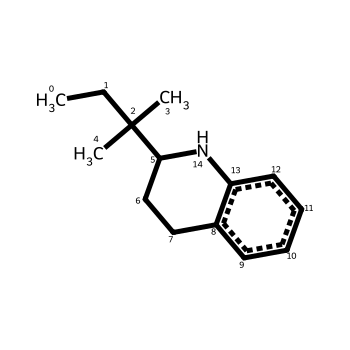 CCC(C)(C)C1CCc2ccccc2N1